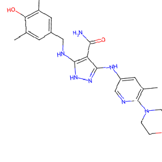 Cc1cc(Nc2n[nH]c(NCc3cc(C)c(O)c(C)c3)c2C(N)=O)cnc1N1CCOCC1